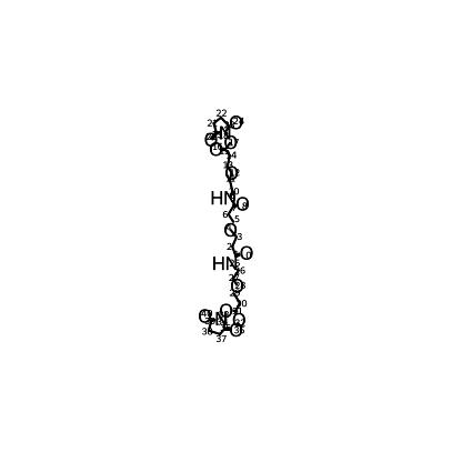 O=C(CCOCCC(=O)NCCOCCC(=O)ON1C(=O)CCC1=O)NCCOCCC(=O)ON1C(=O)CCC1=O